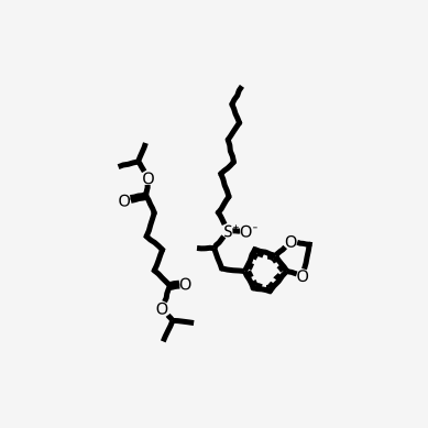 CC(C)OC(=O)CCCCC(=O)OC(C)C.CCCCCCCC[S+]([O-])C(C)Cc1ccc2c(c1)OCO2